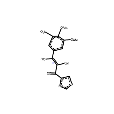 COc1cc(/C(O)=C(\C#N)C(=O)c2cscn2)cc([N+](=O)[O-])c1OC